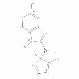 CC1=CC=C[C]1(C)[Zr]([CH3])[C]1=Cc2cc(C)ccc2C1C